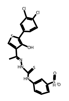 C/C(=N\NC(=S)Nc1cccc([SH](=O)=O)c1)c1csc(-c2ccc(Cl)c(Cl)c2)c1O